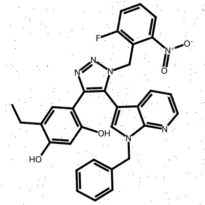 CCc1cc(-c2nnn(Cc3c(F)cccc3[N+](=O)[O-])c2-c2cn(Cc3ccccc3)c3ncccc23)c(O)cc1O